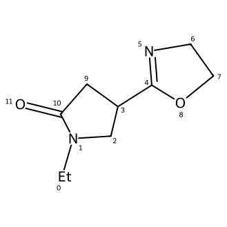 CCN1CC(C2=NCCO2)CC1=O